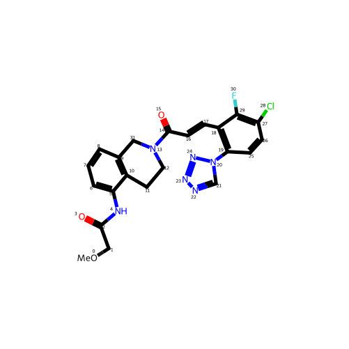 COCC(=O)Nc1cccc2c1CCN(C(=O)C=Cc1c(-n3cnnn3)ccc(Cl)c1F)C2